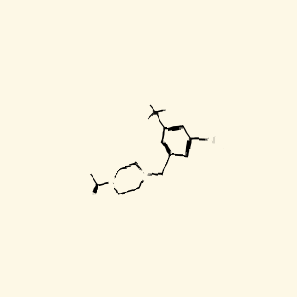 Nc1cc(CN2CCN(C(=O)O)CC2)cc(C(F)(F)F)c1